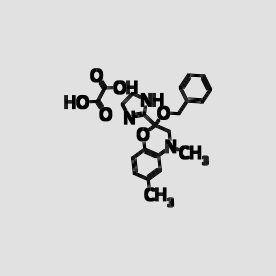 Cc1ccc2c(c1)N(C)CC(OCc1ccccc1)(C1=NCCN1)O2.O=C(O)C(=O)O